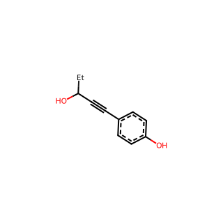 CCC(O)C#Cc1ccc(O)cc1